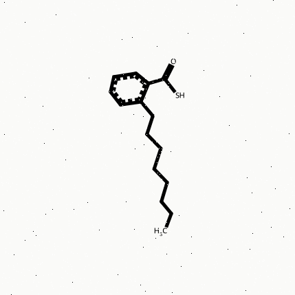 CCCCCCCCc1ccccc1C(=O)S